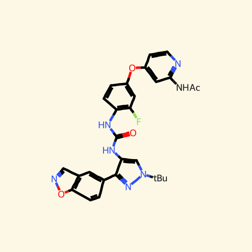 CC(=O)Nc1cc(Oc2ccc(NC(=O)Nc3cn(C(C)(C)C)nc3-c3ccc4oncc4c3)c(F)c2)ccn1